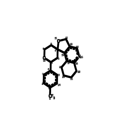 FC(F)(F)c1ccc(C2CC3(CCO2)OCc2cnc4c(c23)CCCC4)cc1